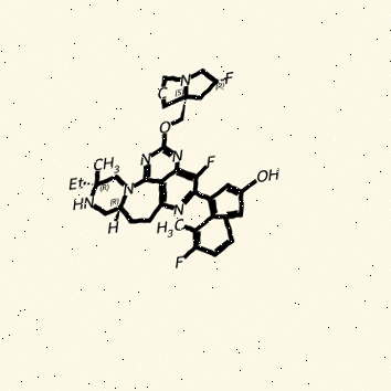 CC[C@]1(C)CN2c3nc(OC[C@@]45CCCN4C[C@H](F)C5)nc4c(F)c(-c5cc(O)cc6ccc(F)c(C)c56)nc(c34)CC[C@@H]2CN1